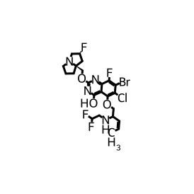 C/C=C\C(COc1c(Cl)c(Br)c(F)c2nc(OC[C@@]34CCCN3C[C@H](F)C4)nc(O)c12)NCC(F)F